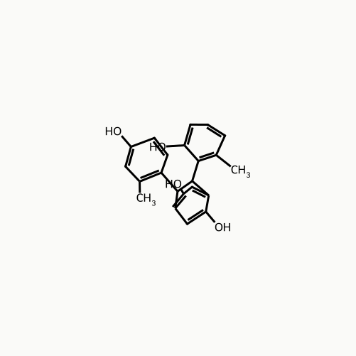 Cc1cc(O)ccc1C1c2cc(O)c(cc2O)C1c1c(C)cccc1O